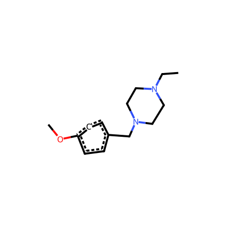 CCN1CCN(Cc2ccc(OC)cc2)CC1